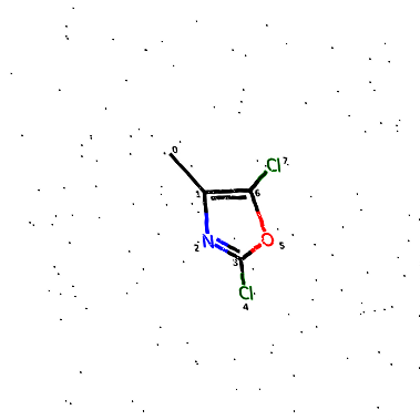 [CH2]c1nc(Cl)oc1Cl